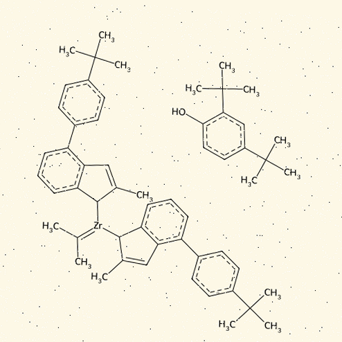 CC(C)(C)c1ccc(O)c(C(C)(C)C)c1.CC1=Cc2c(-c3ccc(C(C)(C)C)cc3)cccc2[CH]1[Zr](=[C](C)C)[CH]1C(C)=Cc2c(-c3ccc(C(C)(C)C)cc3)cccc21